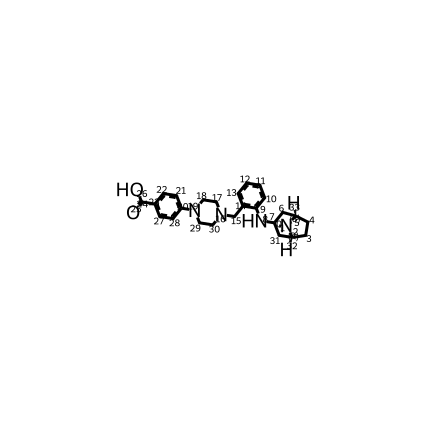 CN1[C@@H]2CC[C@H]1CC(Nc1ccccc1CN1CCN(c3ccc(C(=O)O)cc3)CC1)C2